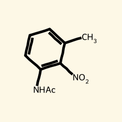 CC(=O)Nc1cccc(C)c1[N+](=O)[O-]